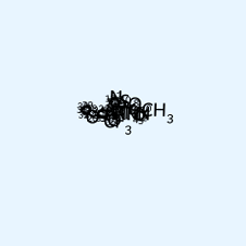 CN1CCCC(NC(=O)c2sc3nccc4c3c2NC(=O)N4c2ccc(Oc3ccccc3)cc2C(F)(F)F)C1